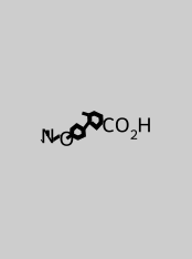 Cc1ccc(C(=O)O)cc1-c1ccc(OCCN(C)C)cc1